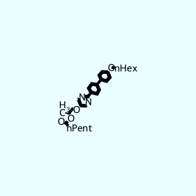 CCCCCCOc1ccc(-c2ccc(-c3ncc(OC[C@H](C)OC(=O)CCCCC)cn3)cc2)cc1